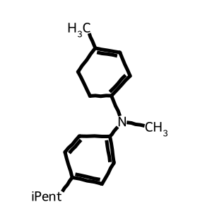 CCCC(C)c1ccc(N(C)C2=CC=C(C)CC2)cc1